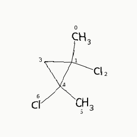 CC1(Cl)CC1(C)Cl